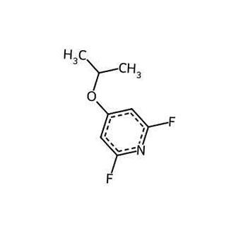 CC(C)Oc1cc(F)nc(F)c1